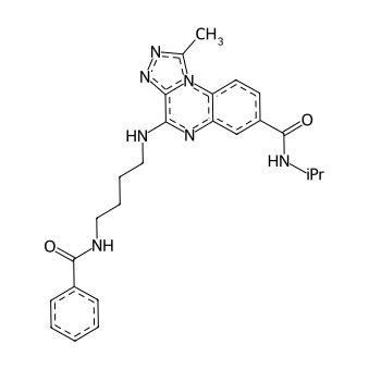 Cc1nnc2c(NCCCCNC(=O)c3ccccc3)nc3cc(C(=O)NC(C)C)ccc3n12